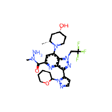 C[C@@H]1C[C@H](O)CCN1c1cc(C(=O)N(C)N)nc2c(-c3ccnn3C3CCCCO3)nn(CC(F)(F)F)c12